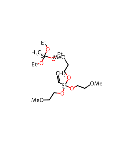 C=C[Si](OCCOC)(OCCOC)OCCOC.CCO[Si](C)(OCC)OCC